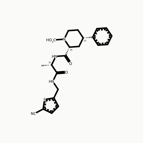 C[C@H](NC(=O)[C@H]1C[C@@H](c2ccccc2)CCN1C(=O)O)C(=O)NCc1ccc(C#N)s1